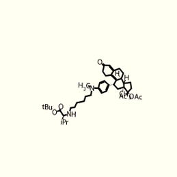 CC(=O)O[C@]1(C(C)=O)CC[C@H]2[C@@H]3CCC4=CC(=O)CCC4=C3[C@@H](c3ccc(N(C)CCCCCCN[C@H](C(=O)OC(C)(C)C)C(C)C)cc3)C[C@@]21C